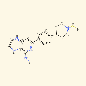 CNc1nc(-c2ccc(C3CCN(SC)CC3)cc2)cc2nccnc12